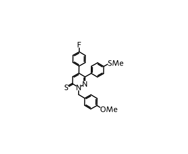 COc1ccc(Cn2nc(-c3ccc(SC)cc3)c(-c3ccc(F)cc3)cc2=S)cc1